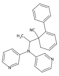 CC(N(c1cccnc1)c1cccnc1)C1(C#N)CC=CC=C1c1ccccc1